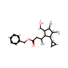 CCC(CC(=O)OCc1ccccc1)C1C(CO)C(CC)C(CC)C1C1CC1